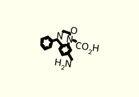 NCc1ccc2c(c1)N(CC(=O)O)C(=O)CN=C2c1ccccc1